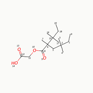 CCC(C)(C)CC(C)(C(=O)OCC(=O)O)C(C)(C)CC